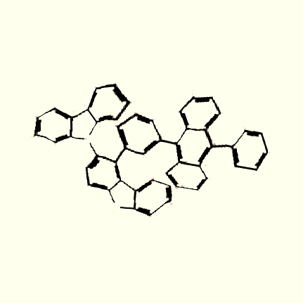 c1ccc(-c2c3ccccc3c(-c3cccc(-c4c(-n5c6ccccc6c6ccccc65)ccc5oc6ccccc6c45)c3)c3ccccc23)cc1